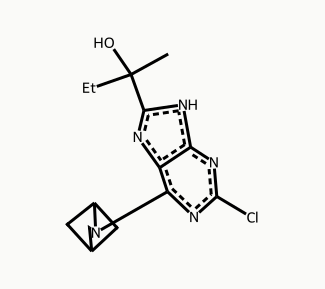 CCC(C)(O)c1nc2c(N3CC4CC3C4)nc(Cl)nc2[nH]1